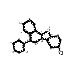 Clc1ccc2oc3c4ccccc4c(-c4ccccc4)cc3c2c1